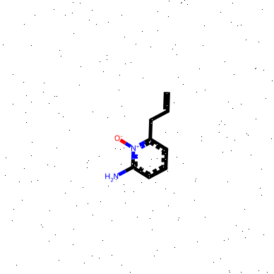 C=CCc1cccc(N)[n+]1[O-]